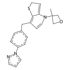 CC1(N2C=CC(Cc3ccc(-n4cccn4)cc3)=C3SCC=C32)COC1